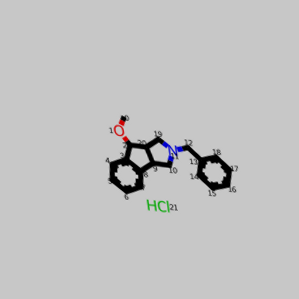 COC1c2ccccc2C2CN(Cc3ccccc3)CC21.Cl